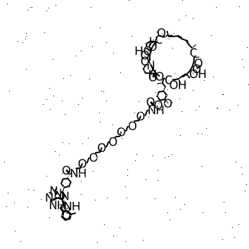 CO[C@H]1C[C@@H]2CC[C@@H](C)[C@@](O)(O2)C(=O)C(=O)N2CCCC[C@H]2C(=O)O[C@H]([C@H](C)C[C@@H]2CC[C@@H](OC(=O)NCCOCCOCCOCCOCCOCCOCCOCCNC(=O)[C@H]3CC[C@H](c4nc(-c5cc6cccc(C)c6[nH]5)c5c(N)ncnn54)CC3)[C@H](OC)C2)C[C@@H](O)[C@H](C)/C=C(\C)[C@@H](O)[C@@H](OC)C(=O)[C@H](C)C[C@H](C)/C=C/C=C/C=C/1C